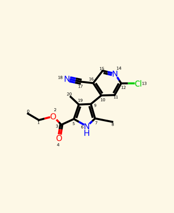 CCOC(=O)c1[nH]c(C)c(-c2cc(Cl)ncc2C#N)c1C